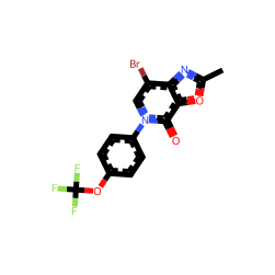 Cc1nc2c(Br)cn(-c3ccc(OC(F)(F)F)cc3)c(=O)c2o1